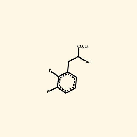 CCOC(=O)C(Cc1cccc(F)c1F)C(C)=O